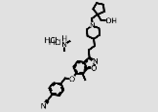 CNC.Cc1c(OCc2ccc(C#N)cc2)ccc2c(CCC3CCN(CC4(CO)CCCC4)CC3)noc12.Cl.Cl